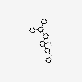 Cc1c(-c2ccc(Sc3ccccc3)cc2)cccc1-c1cccc(-c2cc(C3=CC=CCC3)cc(-c3ccccc3)n2)c1